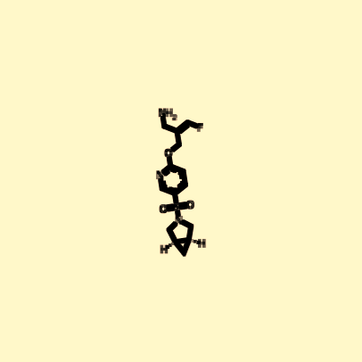 NC/C(=C/F)COc1ccc(S(=O)(=O)N2C[C@H]3C[C@H]3C2)cn1